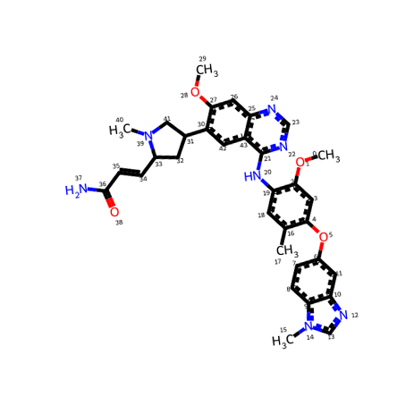 COc1cc(Oc2ccc3c(c2)ncn3C)c(C)cc1Nc1ncnc2cc(OC)c(C3CC(C=CC(N)=O)N(C)C3)cc12